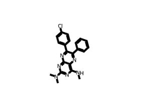 CNc1nc(N(C)C)nc2nc(-c3ccc(Cl)cc3)c(-c3ccccc3)nc12